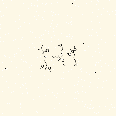 C=C(C)C(=O)OCCC[Si](C)(OC)OC.CCO[Si](C)(CCCS)OCC.CO[Si](C)(CCCS)OC